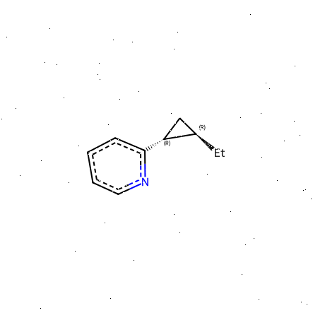 CC[C@@H]1C[C@H]1c1ccccn1